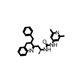 Cc1cc(NC(=O)N[C@@H](C)CC(=N)C(Cc2ccccc2)Cc2ccccc2)cc(C)n1